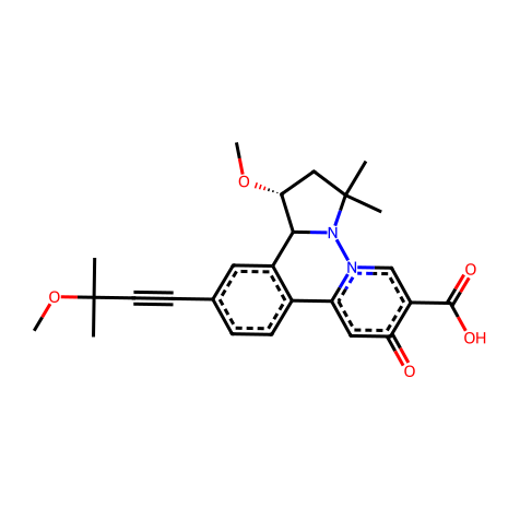 CO[C@@H]1CC(C)(C)N2C1c1cc(C#CC(C)(C)OC)ccc1-c1cc(=O)c(C(=O)O)cn12